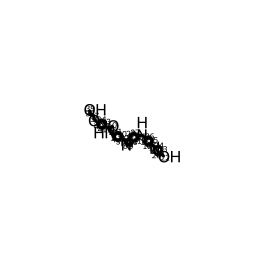 O=C(Nc1ccc(-n2ncc3cc(Nc4ccc(N5CCC(O)CC5)cc4)ccc32)cc1)c1ccc(OCCO)cc1